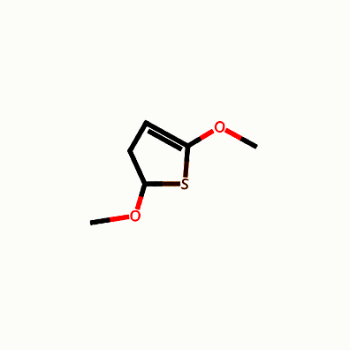 COC1=CCC(OC)S1